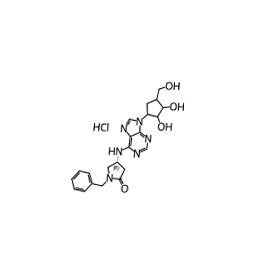 Cl.O=C1C[C@@H](Nc2ncnc3c2ncn3C2CC(CO)C(O)C2O)CN1Cc1ccccc1